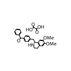 COc1cc2c(cc1OC)C(Cc1ccc(C(=O)c3ccccc3)cc1)NCC2.O=C(O)C(=O)O